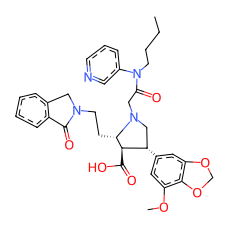 CCCCN(C(=O)CN1C[C@H](c2cc(OC)c3c(c2)OCO3)[C@@H](C(=O)O)[C@@H]1CCN1Cc2ccccc2C1=O)c1cccnc1